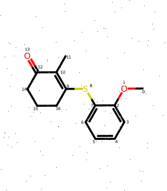 COc1ccccc1SC1=C(C)C(=O)CCC1